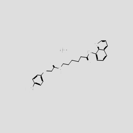 Cl.Cl.Nc1ccc(SCC(=O)NCCCCCC(=O)Nc2cccc3cccnc23)cc1